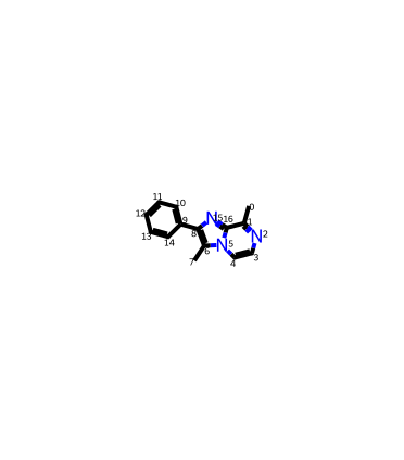 Cc1nccn2c(C)c(-c3ccccc3)nc12